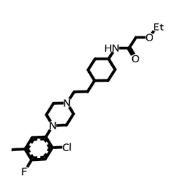 CCOCC(=O)NC1CCC(CCN2CCN(c3cc(C)c(F)cc3Cl)CC2)CC1